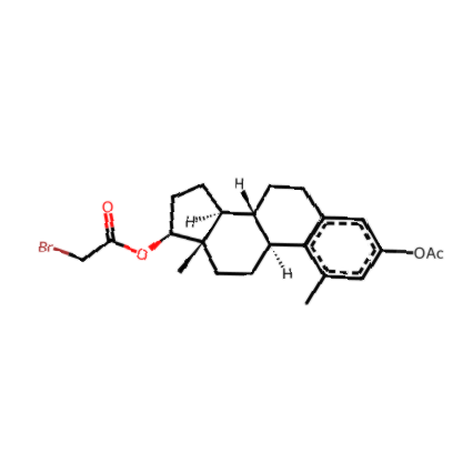 CC(=O)Oc1cc(C)c2c(c1)CC[C@@H]1[C@@H]2CC[C@]2(C)[C@@H](OC(=O)CBr)CC[C@@H]12